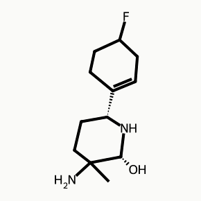 CC1(N)CC[C@H](C2=CCC(F)CC2)N[C@@H]1O